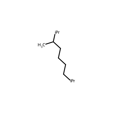 [CH2]C(C)CCCCC(C)C([CH2])C